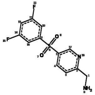 NCc1ccc(S(=O)(=O)c2cc(F)cc(F)c2)cn1